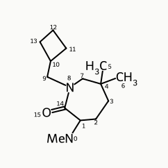 CNC1CCC(C)(C)CN(CC2CCC2)C1=O